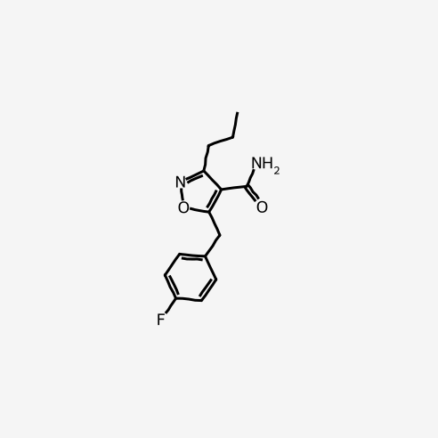 CCCc1noc(Cc2ccc(F)cc2)c1C(N)=O